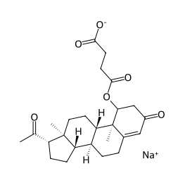 CC(=O)[C@H]1CC[C@H]2[C@@H]3CCC4=CC(=O)CC(OC(=O)CCC(=O)[O-])[C@]4(C)[C@H]3CC[C@]12C.[Na+]